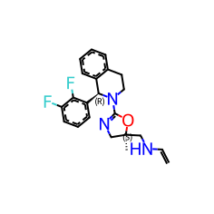 C=CNC[C@@]1(C)CN=C(N2CCc3ccccc3[C@@H]2c2cccc(F)c2F)O1